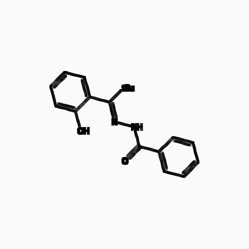 CC(C)(C)/C(=N\NC(=O)c1ccccc1)c1ccccc1O